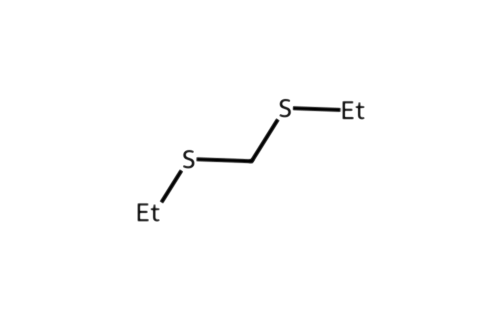 CCSCSCC